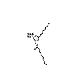 CCCC=CCC=CCC(=O)OC[C@H](COP(=O)(O)O)OC(=O)CC=CCC=CCCC